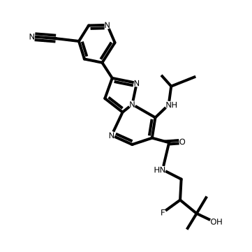 CC(C)Nc1c(C(=O)NCC(F)C(C)(C)O)cnc2cc(-c3cncc(C#N)c3)nn12